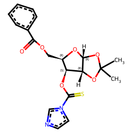 CC1(C)O[C@H]2O[C@H](COC(=O)c3ccccc3)[C@H](OC(=S)n3ccnc3)[C@H]2O1